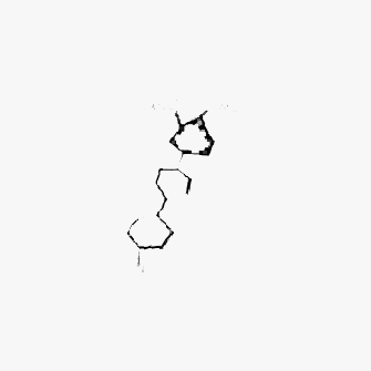 CCC[C@H]1CC[C@H]([C@H]2CC[C@H](c3ccc(OC)c(OC)c3)CC2)CC1